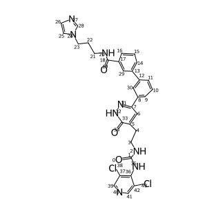 O=C(NCCc1cc(-c2cccc(-c3cccc(C(=O)NCCCn4ccnc4)c3)c2)n[nH]c1=O)Nc1c(Cl)cncc1Cl